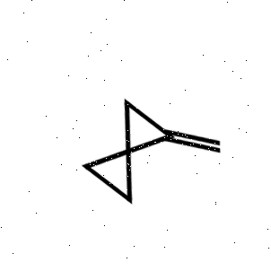 C=C1CC12CC2